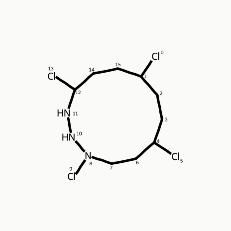 ClC1CCC(Cl)CCN(Cl)NNC(Cl)CC1